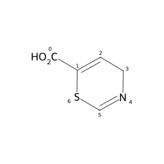 O=C(O)C1=CCN=CS1